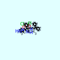 Cc1nc(C)c(C(=O)N2CCNCC2)c(-c2cc(Cl)cc(Cl)c2)c1C(=O)NCCC(c1ccccc1)c1ccccc1